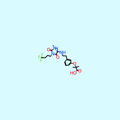 Cn1nc(NCCc2cccc(OC(C)(C)C(=O)O)c2)c(=O)n(CCCC(F)(F)F)c1=O